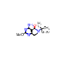 COc1nc(N)c2c(n1)CCN(C(C)(C)NC(C)=O)C2=O